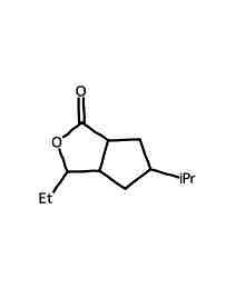 CCC1OC(=O)C2CC(C(C)C)CC12